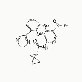 CCC(=O)c1cnc(NC(=O)[C@H]2CC23CC3)cc1Nc1cccc(-c2cnccn2)c1OC